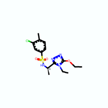 CCOc1nnc([C@@H](C)NS(=O)(=O)c2ccc(C)c(Cl)c2)n1CC